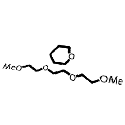 C1CCOCC1.COCCOCCOCCOC